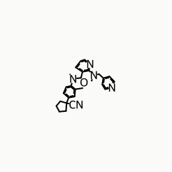 Cc1cc(C2(C#N)CCCC2)ccc1N(C)C(=O)c1cccnc1N(C)Cc1ccncc1